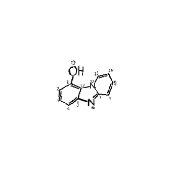 Oc1cccc2nc3ccccn3c12